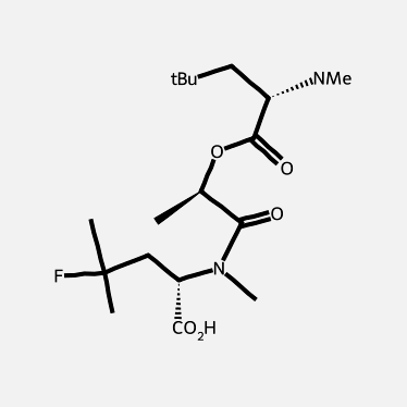 CN[C@@H](CC(C)(C)C)C(=O)O[C@H](C)C(=O)N(C)[C@@H](CC(C)(C)F)C(=O)O